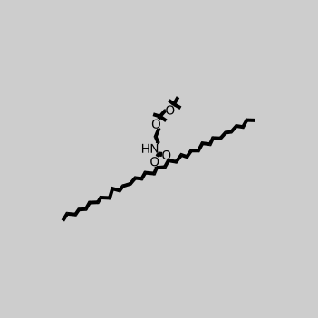 CCCCCCCCCCCCCCCCCC(CCCCCCCCCCCCCCCCC)OC(=O)NCCCOC(C)(C)COC(C)(C)C